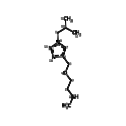 CNCCOCc1cn(CC(C)C)nn1